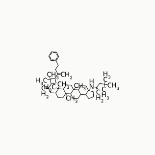 C=C(CC(C)(C)C)NC12CCCC1C1CCC3C(C)(CCC4C(C)(C)C(CC(=C)C5CC(C(=C)CCc6ccccc6)C5(C)C)CCC43C)C1CC2